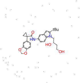 CC(C)(C)c1cc2cc(NC(=O)C3(c4ccc5c(c4)OCO5)CC3)ccc2n1C[C@@H](O)CCO